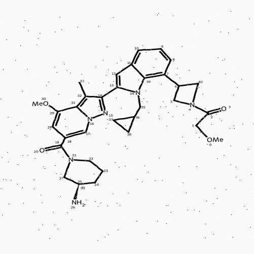 COCC(=O)N1CC(c2cccc3cc(-c4nn5cc(C(=O)N6CCC[C@@H](N)C6)cc(OC)c5c4C)n(CC4CC4)c23)C1